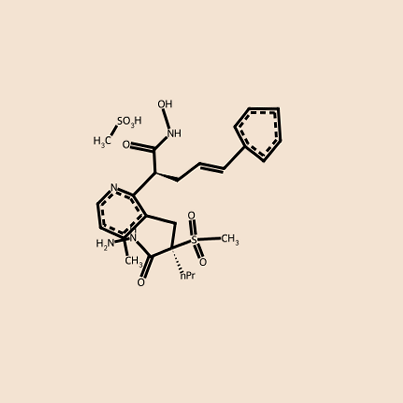 CCC[C@@](Cc1c(C)ccnc1[C@H](C/C=C/c1ccccc1)C(=O)NO)(C(=O)NN)S(C)(=O)=O.CS(=O)(=O)O